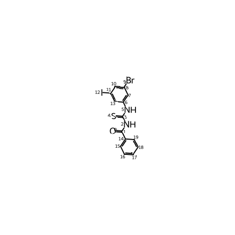 O=C(NC(=S)Nc1cc(Br)cc(I)c1)c1ccccc1